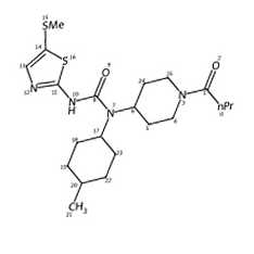 CCCC(=O)N1CCC(N(C(=O)Nc2ncc(SC)s2)C2CCC(C)CC2)CC1